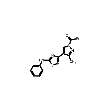 CCC(=O)n1cc(-c2nsc(Nc3ccccc3)n2)c(C)n1